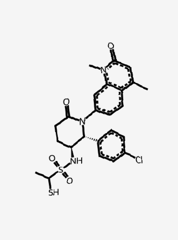 Cc1cc(=O)n(C)c2cc(N3C(=O)CC[C@H](NS(=O)(=O)C(C)S)[C@H]3c3ccc(Cl)cc3)ccc12